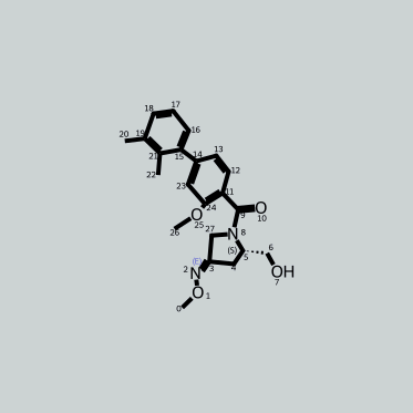 CO/N=C1\C[C@@H](CO)N(C(=O)c2ccc(-c3cccc(C)c3C)cc2OC)C1